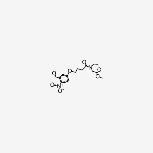 CCN(CC(=O)OC)C(=O)CCCOc1ccc([N+](=O)[O-])c(C=O)c1